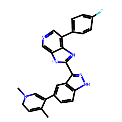 CC1=CCN(C)C=C1c1ccc2[nH]nc(-c3nc4c(-c5ccc(F)cc5)cncc4[nH]3)c2c1